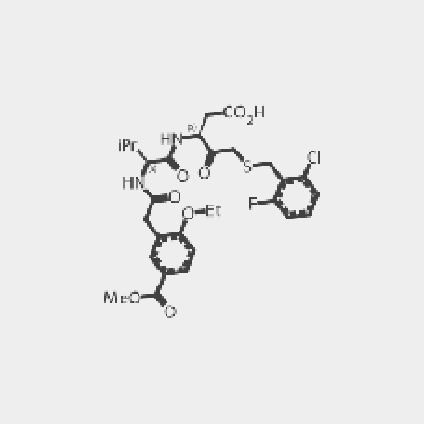 CCOc1ccc(C(=O)OC)cc1CC(=O)N[C@H](C(=O)N[C@@H](CC(=O)O)C(=O)CSCc1c(F)cccc1Cl)C(C)C